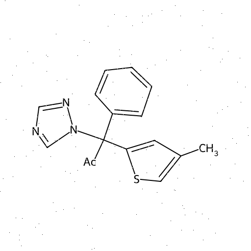 CC(=O)C(c1ccccc1)(c1cc(C)cs1)n1cncn1